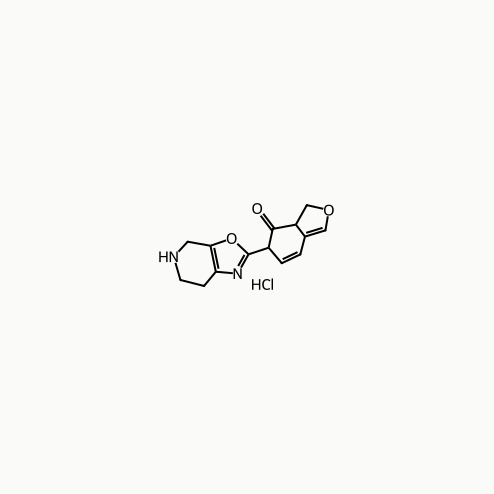 Cl.O=C1C2COC=C2C=CC1c1nc2c(o1)CNCC2